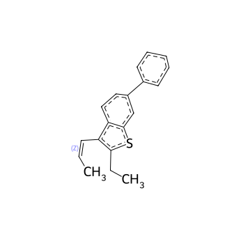 C/C=C\c1c(CC)sc2cc(-c3ccccc3)ccc12